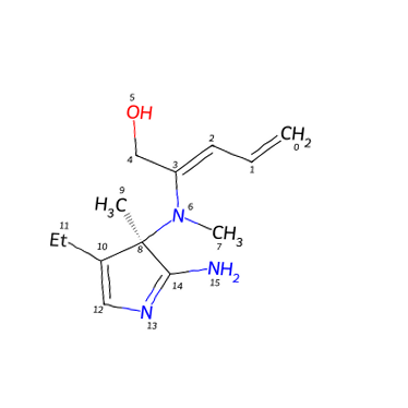 C=C/C=C(/CO)N(C)[C@]1(C)C(CC)=CN=C1N